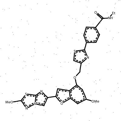 CCNC(=O)c1ccc(-c2nc(COc3cc(OC)cc4oc(-c5cn6nc(OC)sc6n5)cc34)cs2)cc1